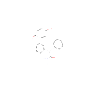 CN(C)C(=O)C(c1ccccc1)c1ccccc1.O=C1C=CC(=O)C=C1